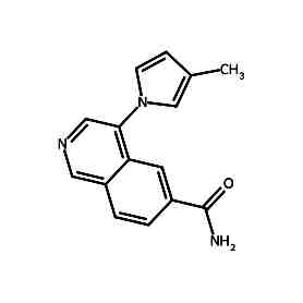 Cc1ccn(-c2cncc3ccc(C(N)=O)cc23)c1